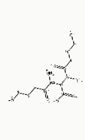 NN(C(=O)CCCO)C(C(=O)O)N(N)C(=O)CCCO